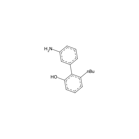 CCCCc1cccc(O)c1-c1cccc(N)c1